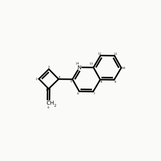 C=C1C=CC1c1ccc2ccccc2n1